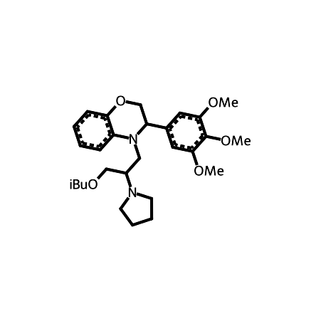 COc1cc(C2COc3ccccc3N2CC(COCC(C)C)N2CCCC2)cc(OC)c1OC